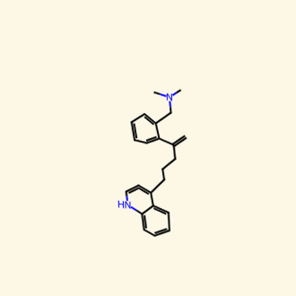 C=C(CCCC1=C=CNc2ccccc21)c1ccccc1CN(C)C